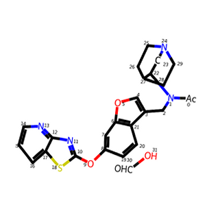 CC(=O)N(Cc1coc2cc(Oc3nc4ncccc4s3)ccc12)C1CN2CCC1CC2.O=CO